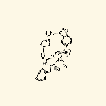 CC(C)CN(CC(O)C(Cc1ccccc1)NC(=O)OC1CCOC1)S(=O)(=O)c1ccc2onc(N)c2c1